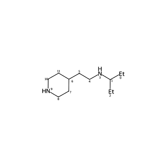 CCC(CC)NCCC1CCNCC1